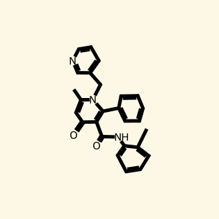 Cc1ccccc1NC(=O)c1c(-c2ccccc2)n(Cc2cccnc2)c(C)cc1=O